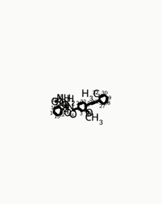 COc1cc(C(=O)NS(=O)(=O)c2ccccc2S(N)(=O)=O)ccc1C#Cc1ccccc1C